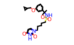 CC(C)(NS(=O)(=O)CCCCCn1ccc(=O)[nH]c1=O)c1cccc(OCC2CC2)c1